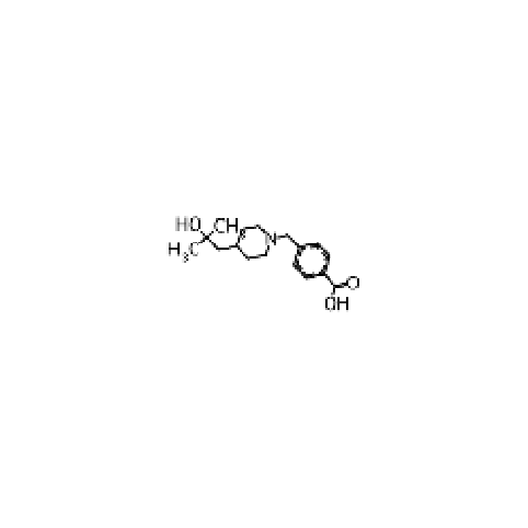 CC(C)(O)CC1CCN(Cc2ccc(C(=O)O)cc2)CC1